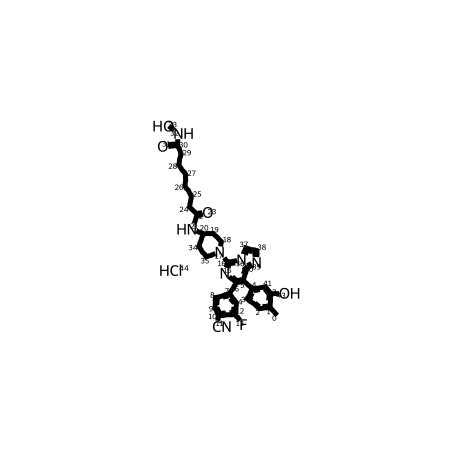 Cc1ccc(-c2c(-c3ccc(C#N)c(F)c3)nc(N3CCC(NC(=O)CCCCCCC(=O)NO)CC3)n3ccnc23)cc1O.Cl